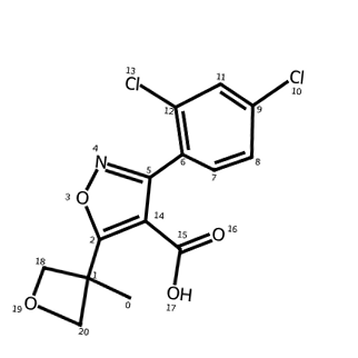 CC1(c2onc(-c3ccc(Cl)cc3Cl)c2C(=O)O)COC1